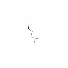 CCN(CC)[SiH2]CCC(C)(C)C